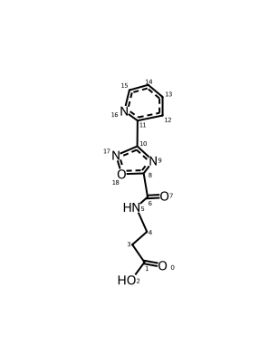 O=C(O)CCNC(=O)c1nc(-c2ccccn2)no1